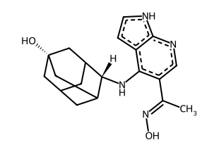 CC(=NO)c1cnc2[nH]ccc2c1N[C@H]1C2CC3CC1C[C@@](O)(C3)C2